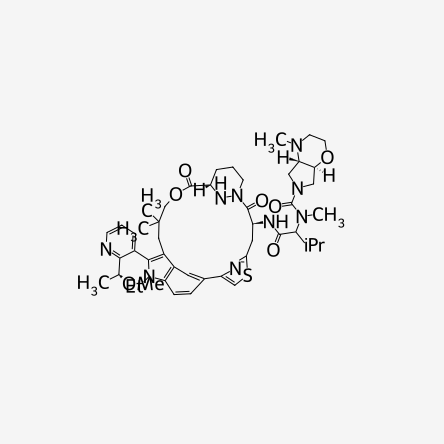 CCn1c(-c2cccnc2[C@H](C)OC)c2c3cc(ccc31)-c1csc(n1)C[C@H](NC(=O)C(C(C)C)N(C)C(=O)N1C[C@@H]3OCCN(C)[C@H]3C1)C(=O)N1CCC[C@H](N1)C(=O)OCC(C)(C)C2